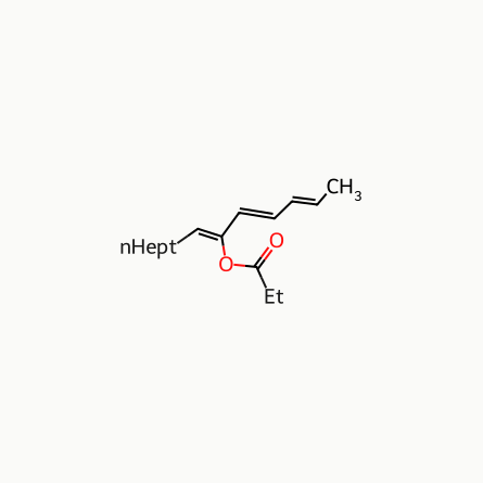 CC=CC=CC(=CCCCCCCC)OC(=O)CC